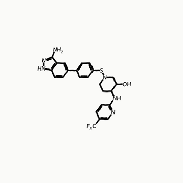 Nc1n[nH]c2ccc(-c3ccc(SN4CCC(Nc5ccc(C(F)(F)F)cn5)C(O)C4)cc3)cc12